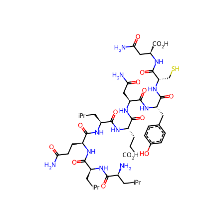 CC(C)C[C@H](NC(=O)[C@H](CCC(N)=O)NC(=O)[C@H](CC(C)C)NC(=O)[C@@H](N)CC(C)C)C(=O)N[C@@H](CCC(=O)O)C(=O)N[C@@H](CC(N)=O)C(=O)N[C@@H](Cc1ccc(O)cc1)C(=O)N[C@@H](CS)C(=O)N[C@@H](CC(N)=O)C(=O)O